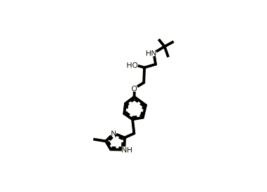 Cc1c[nH]c(Cc2ccc(OCC(O)CNC(C)(C)C)cc2)n1